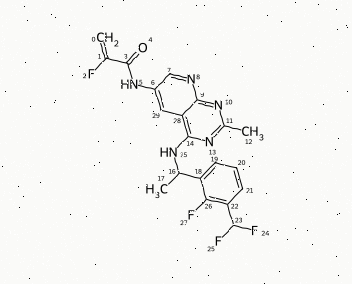 C=C(F)C(=O)Nc1cnc2nc(C)nc(NC(C)c3cccc(C(F)F)c3F)c2c1